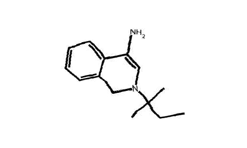 CCC(C)(C)N1C=C(N)c2ccccc2C1